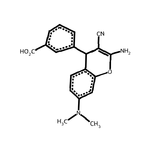 CN(C)c1ccc2c(c1)OC(N)=C(C#N)C2c1cccc(C(=O)O)c1